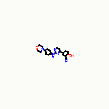 N#Cc1cc(-c2ccnc(Nc3ccc(N4CCOCC4)cc3)n2)ccc1O